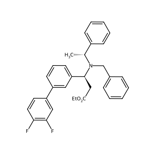 CCOC(=O)C[C@@H](c1cccc(-c2ccc(F)c(F)c2)c1)N(Cc1ccccc1)[C@H](C)c1ccccc1